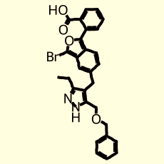 CCc1n[nH]c(COCc2ccccc2)c1Cc1ccc2c(-c3ccccc3C(=O)O)oc(Br)c2c1